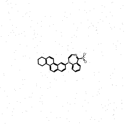 O=[N+]([O-])C1=NC=CN(c2ccc3ccc4c5c(ccc4c3c2)CCCC5)c2ccccc21